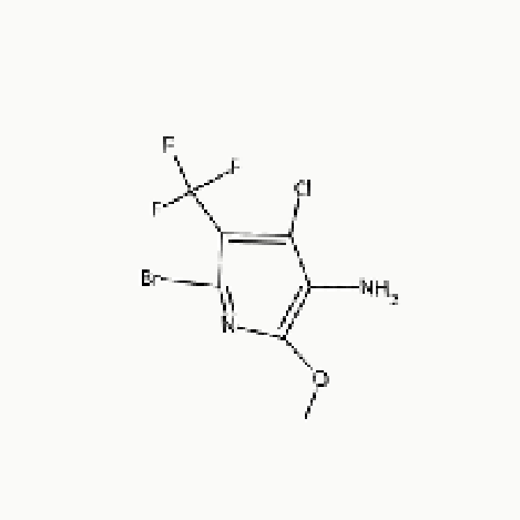 COc1nc(Br)c(C(F)(F)F)c(Cl)c1N